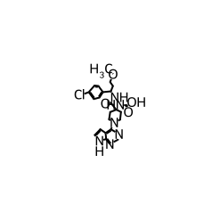 COCCC(NC(=O)C1(NC(=O)O)CCN(c2ncnc3[nH]ccc23)CC1)c1ccc(Cl)cc1